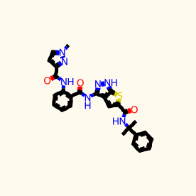 Cn1ccc(C(=O)Nc2ccccc2C(=O)Nc2n[nH]c3sc(C(=O)NC(C)(C)c4ccccc4)cc23)n1